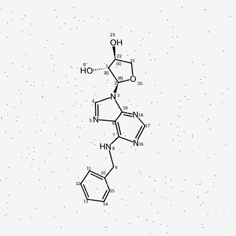 O[C@H]1[C@H](n2cnc3c(NCc4ccccc4)ncnc32)OC[C@@H]1O